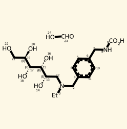 CCN(Cc1ccc(CNC(=O)O)cc1)C[C@H](O)[C@@H](O)[C@H](O)[C@H](O)CO.O=CO